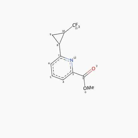 COC(=O)c1cccc(C2CC2C(F)(F)F)n1